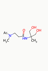 CC(=O)N(C)CCC(=O)NC(C)(CO)CO